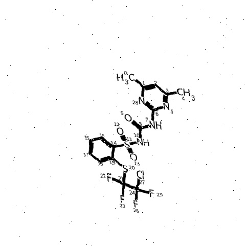 Cc1cc(C)nc(NC(=O)NS(=O)(=O)c2ccccc2SC(F)(F)C(F)(F)Cl)n1